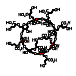 O=C(O)C(CCO)OCC1OC2OC3C(COC(CCO)C(=O)O)OC(OC4C(O)CC(OC4COC(CCO)C(=O)O)OC4C(COC(CCO)C(=O)O)OC(OC5C(COC(CCO)C(=O)O)OC(OC6C(COC(CCO)C(=O)O)OC(OC7C(COC(CCO)C(=O)O)OC(OC8C(COC(CCO)C(=O)O)OC(OC1CC2O)C(O)C8O)C(O)C7O)C(O)C6O)C(O)C5O)C(O)C4O)C(O)C3O